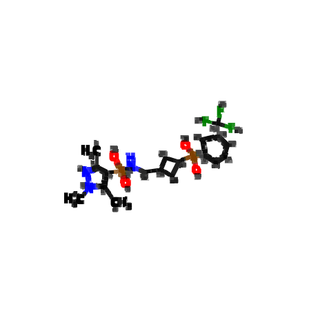 Cc1nn(C)c(C)c1S(=O)(=O)NCC1CC(S(=O)(=O)c2cccc(C(F)(F)F)c2)C1